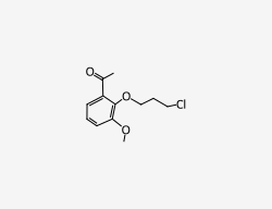 COc1cccc(C(C)=O)c1OCCCCl